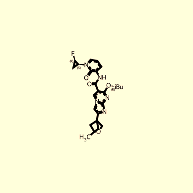 CC[C@@H](C)Oc1nc2nc(C34COC(C)(C3)C4)cn2cc1C(=O)Nc1cccn([C@H]2C[C@H]2F)c1=O